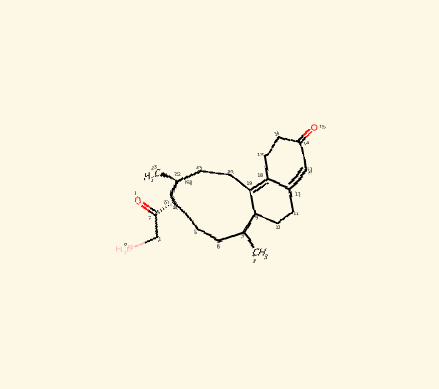 BCC(=O)[C@H]1CCC(C)C2CCC3=CC(=O)CCC3=C2CC[C@@H]1C